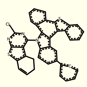 Clc1nc(-n2c3ccc(-c4ccccc4)cc3c3c4c5ccccc5sc4c4ccccc4c32)c2c3c(sc2n1)C=CCC3